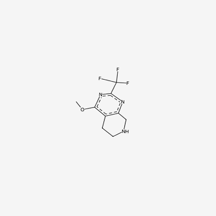 COc1nc(C(F)(F)F)nc2c1CCNC2